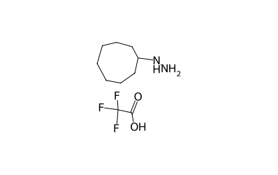 NNC1CCCCCCC1.O=C(O)C(F)(F)F